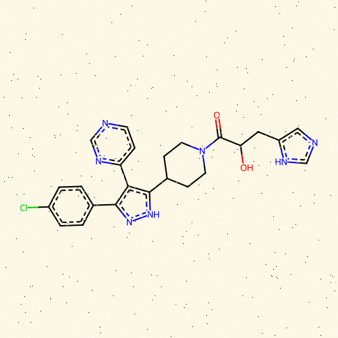 O=C(C(O)Cc1cnc[nH]1)N1CCC(c2[nH]nc(-c3ccc(Cl)cc3)c2-c2ccncn2)CC1